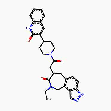 CC(C)(C)CN1Cc2c(ccc3[nH]ncc23)CC(CC(=O)N2CCC(c3cc4ccccc4[nH]c3=O)CC2)C1=O